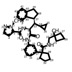 Cn1nccc1C(=O)N[C@H](C(=O)Nc1cccc(C2(C(=O)NCC3(C)CCC3)CCCC2)c1)C(C1CC1)[C@@H]1CCc2ccccc21